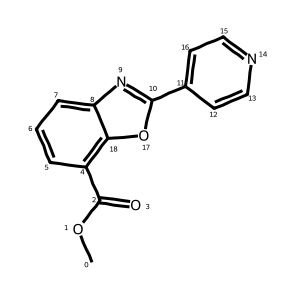 COC(=O)c1cccc2nc(-c3ccncc3)oc12